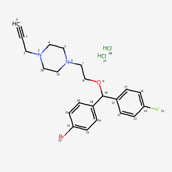 C#CCN1CCN(CCOC(c2ccc(F)cc2)c2ccc(Br)cc2)CC1.Cl.Cl